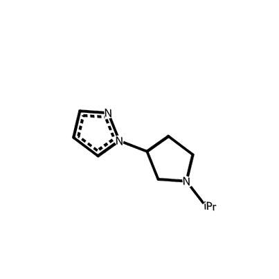 CC(C)N1CCC(n2cccn2)C1